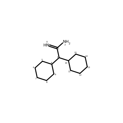 N=C(N)C(C1CCCCC1)C1CCCCC1